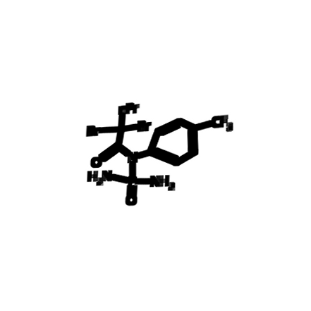 CCCC(Br)(Br)C(=O)N(c1ccc(C(F)(F)F)cc1)P(N)(N)=O